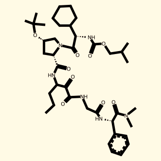 CCCC(NC(=O)[C@@H]1C[C@H](OC(C)(C)C)CN1C(=O)[C@@H](NC(=O)OCC(C)C)C1CCCCC1)C(=O)C(=O)NCC(=O)N[C@H](C(=O)N(C)C)c1ccccc1